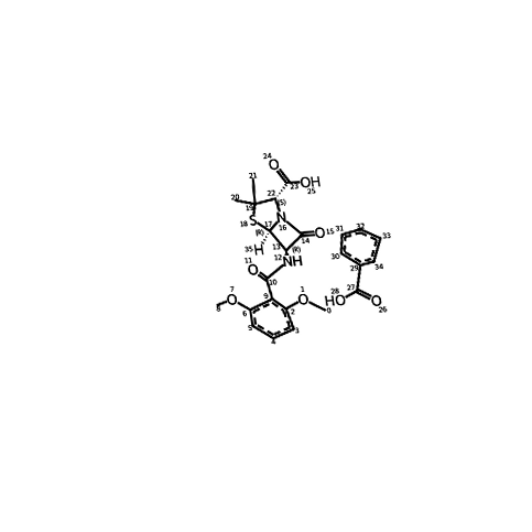 COc1cccc(OC)c1C(=O)N[C@@H]1C(=O)N2[C@@H]1SC(C)(C)[C@@H]2C(=O)O.O=C(O)c1ccccc1